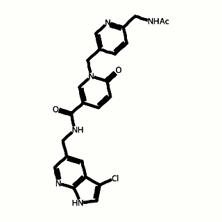 CC(=O)NCc1ccc(Cn2cc(C(=O)NCc3cnc4[nH]cc(Cl)c4c3)ccc2=O)cn1